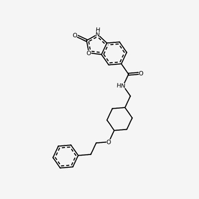 O=C(NCC1CCC(OCCc2ccccc2)CC1)c1ccc2[nH]c(=O)oc2c1